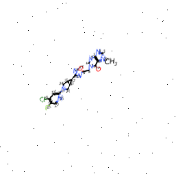 Cn1cnc2ncn(Cc3nc(C4C5CN(c6cc(Cl)c(F)cn6)CC54)no3)c(=O)c21